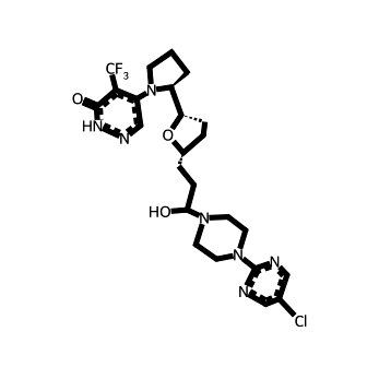 O=c1[nH]ncc(N2CCC[C@H]2[C@@H]2CC[C@H](CCC(O)N3CCN(c4ncc(Cl)cn4)CC3)O2)c1C(F)(F)F